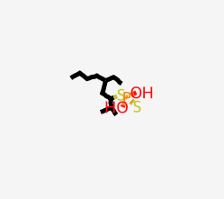 CCCCC(CC)CC(SP(O)(O)=S)C(C)C